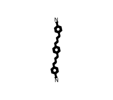 N#Cc1ccc(/C=C/C=C/c2ccc(/C=C/C=C/c3ccc(C#N)cc3)cc2)cc1